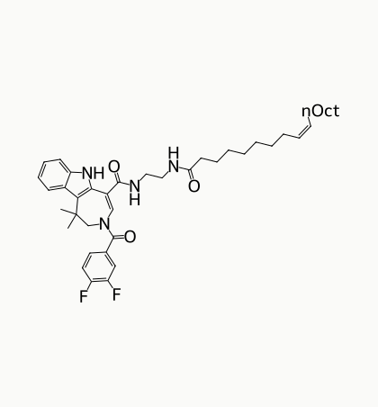 CCCCCCCC/C=C\CCCCCCCC(=O)NCCNC(=O)C1=CN(C(=O)c2ccc(F)c(F)c2)CC(C)(C)c2c1[nH]c1ccccc21